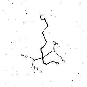 CN(C)C(CCl)(CCCCCl)N(C)C